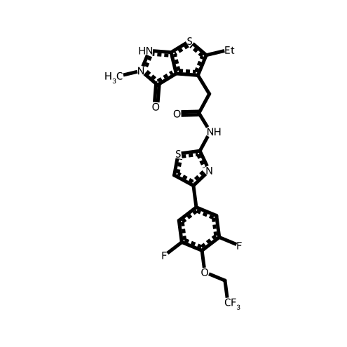 CCc1sc2[nH]n(C)c(=O)c2c1CC(=O)Nc1nc(-c2cc(F)c(OCC(F)(F)F)c(F)c2)cs1